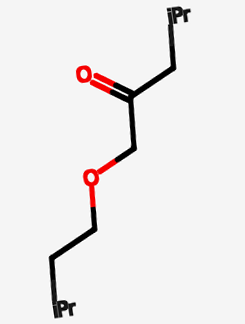 CC(C)CCOCC(=O)CC(C)C